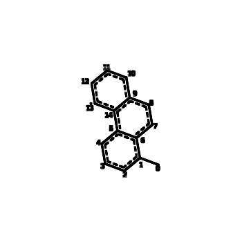 Cc1cccc2c1ccc1ccc[c]c12